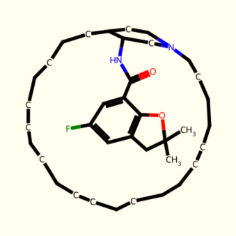 CC1(C)Cc2cc(F)cc(C(=O)NC3CN4CCCCCCCCCCCCCCCCCCCCCC3CC4)c2O1